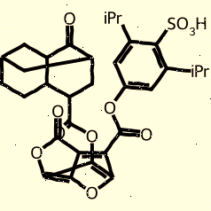 CC(C)c1cc(OC(=O)c2c3c4oc2c(OC(=O)C2CC5CC6CCC2C(C6)C5=O)c4OC3=O)cc(C(C)C)c1S(=O)(=O)O